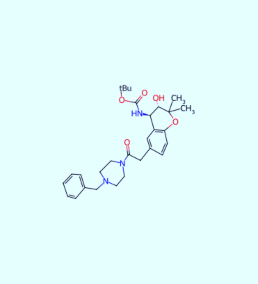 CC(C)(C)OC(=O)N[C@@H]1c2cc(CC(=O)N3CCN(Cc4ccccc4)CC3)ccc2OC(C)(C)[C@H]1O